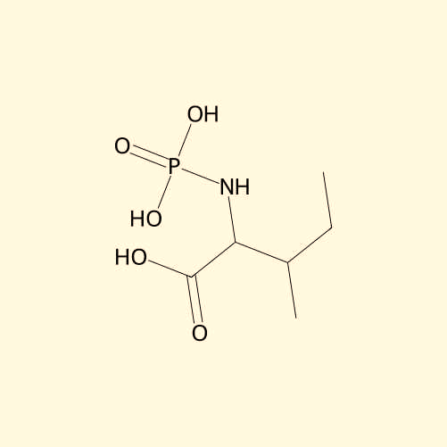 CCC(C)C(NP(=O)(O)O)C(=O)O